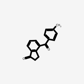 Cc1ccc(C(=O)c2cccc3c2CCC3=O)cc1